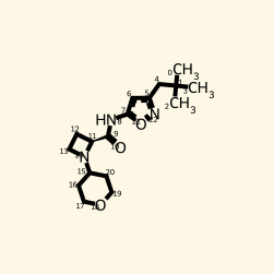 CC(C)(C)Cc1cc(NC(=O)[C@@H]2CCN2C2CCOCC2)on1